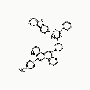 N#Cc1ccc(-c2cc3c4ccccc4c(-c4cccc(-c5nc(-c6ccccc6)nc(-c6ccc7c(c6)sc6ccccc67)n5)c4)cc3c3cccnc23)cc1